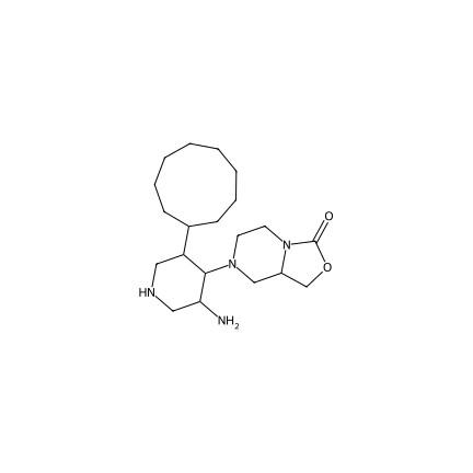 NC1CNCC(C2CCCCCCCC2)C1N1CCN2C(=O)OCC2C1